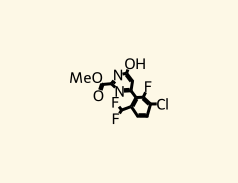 COC(=O)c1nc(O)cc(-c2c(C(F)F)ccc(Cl)c2F)n1